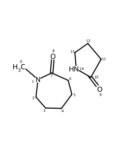 CN1CCCCCC1=O.O=C1CCCN1